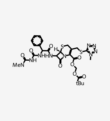 CNC(=O)NC(=O)NC(C(=O)NC1C(=O)N2C(C(=O)OCOC(=O)C(C)(C)C)=C(CSc3nnnn3C)CS[C@@H]12)c1ccccc1